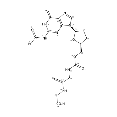 C=C1NC(NC(=O)C(C)C)=Nc2c1ncn2[C@H]1CC[C@@H](COC(=O)NCC(=O)NCC(=O)O)O1